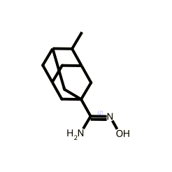 CC1C2CC3CC1CC(/C(N)=N/O)(C3)C2